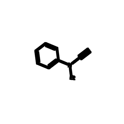 C#CN(CC)c1ccccc1